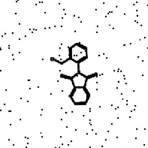 O=C1c2ccccc2C(=O)N1c1ccccc1CCl